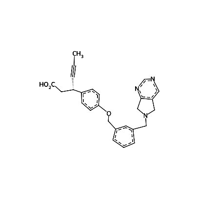 CC#C[C@@H](CC(=O)O)c1ccc(OCc2cccc(CN3Cc4cncnc4C3)c2)cc1